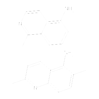 Cc1ccc2c(N)c(C)ccc2n1.Cc1nccc2c(N)cccc12